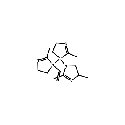 C=C[N+]1([N+]2(N3CC(C)N=C3C)CCN=C2C)CCN=C1C